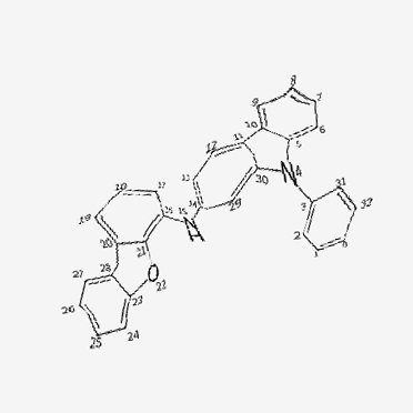 c1ccc(-n2c3ccccc3c3ccc(Nc4cccc5c4oc4ccccc45)cc32)cc1